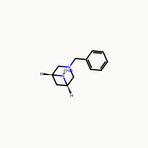 O=CN1[C@@H]2C[C@H]1CN(Cc1ccccc1)C2